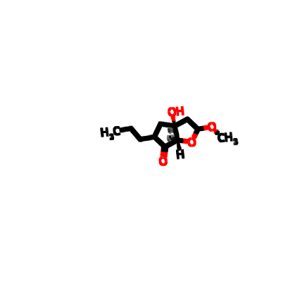 CCCC1C[C@]2(O)CC(OC)O[C@@H]2C1=O